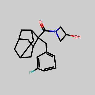 O=C(N1CC(O)C1)C1(Cc2cccc(F)c2)C2CC3CC(C2)CC1C3